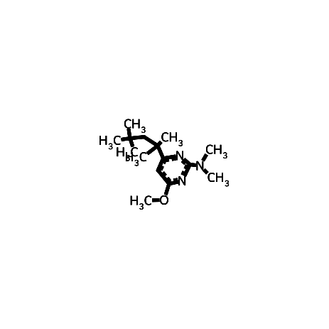 COc1cc(C(C)(C)CC(C)(C)C)nc(N(C)C)n1